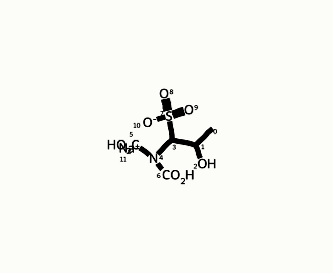 CC(O)C(N(C(=O)O)C(=O)O)S(=O)(=O)[O-].[Na+]